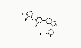 Cc1cc(-c2n[nH]c3ccc(-c4ccn(Cc5cccc(F)c5F)c(=O)c4)cc23)ccn1